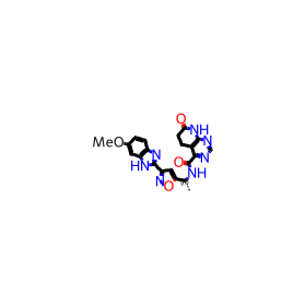 COc1ccc2nc(-c3cc([C@@H](C)NC(=O)c4ncnc5c4CCC(=O)N5)on3)[nH]c2c1